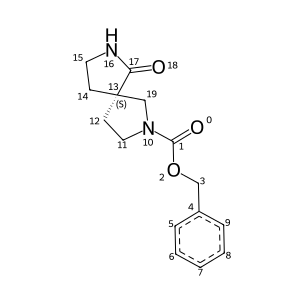 O=C(OCc1ccccc1)N1CC[C@@]2(CCNC2=O)C1